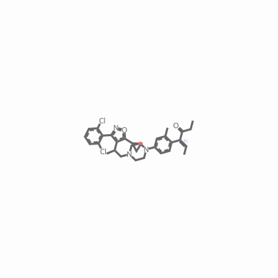 C/C=C(/C(=O)CC)c1ccc(N2CCN(CC(C)c3c(-c4c(Cl)cccc4Cl)noc3C3CC3)CC2)cc1C